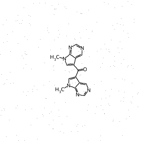 Cn1cc(C(=O)c2cn(C)c3ncncc23)c2cncnc21